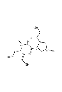 C=CCC(N=CS)[C@@H](C)NC(=O)[C@@H]1C[C@@H](O)CN1C(=O)CC(C)(C)C